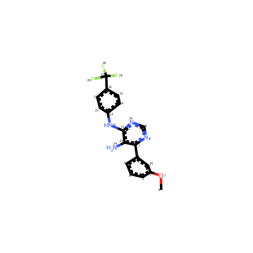 COc1cccc(-c2ncnc(Nc3ccc(C(F)(F)F)cc3)c2N)c1